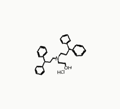 Cl.OCCN(CCC(c1ccccc1)c1ccccc1)CCC(c1ccccc1)c1ccccc1